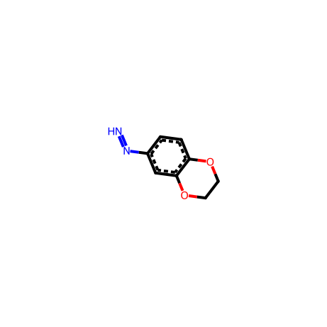 N=Nc1ccc2c(c1)OCCO2